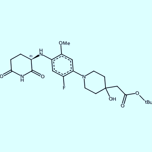 COc1cc(N2CCC(O)(CC(=O)OC(C)(C)C)CC2)c(F)cc1N[C@@H]1CCC(=O)NC1=O